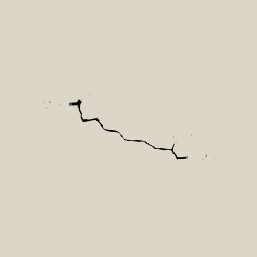 COCC(O)CCCCCCCC(=O)OC